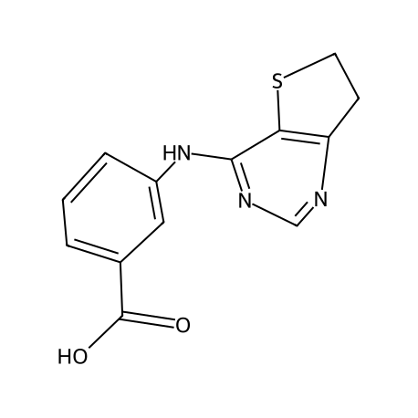 O=C(O)c1cccc(Nc2ncnc3c2SCC3)c1